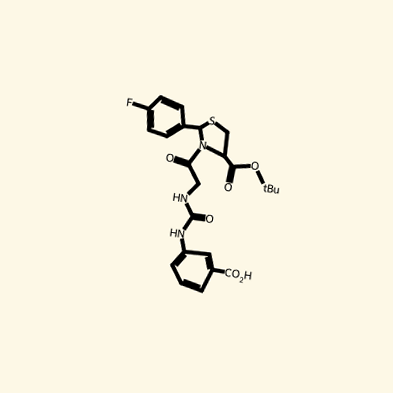 CC(C)(C)OC(=O)C1CSC(c2ccc(F)cc2)N1C(=O)CNC(=O)Nc1cccc(C(=O)O)c1